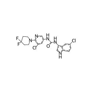 O=C(Nc1cnc(N2CCC(F)(F)CC2)c(Cl)c1)Nc1c[nH]c2ccc(Cl)cc12